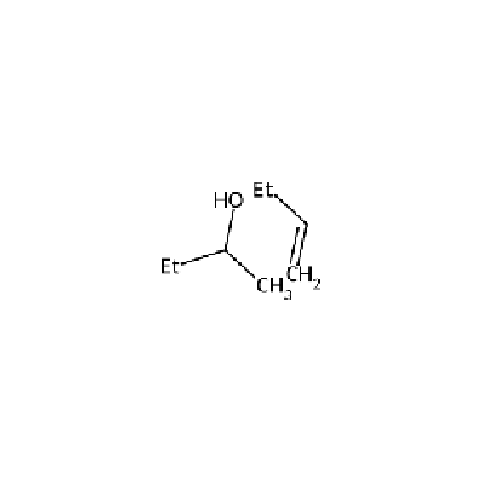 C=CCC.CCC(C)O